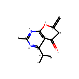 C=C1CC(=O)c2c(nc(C)nc2C(C)C)O1